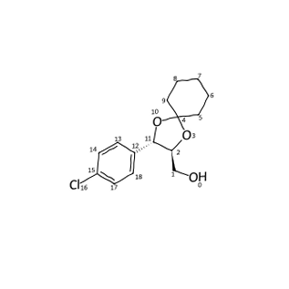 OC[C@@H]1OC2(CCCCC2)O[C@H]1c1ccc(Cl)cc1